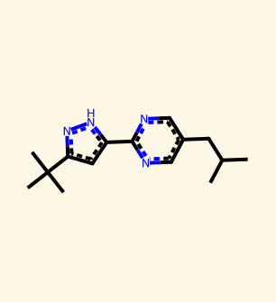 CC(C)Cc1cnc(-c2cc(C(C)(C)C)n[nH]2)nc1